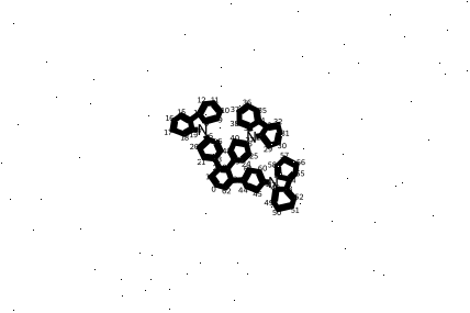 c1cc(-c2ccc(-n3c4ccccc4c4ccccc43)cc2)c(-c2ccc(-n3c4ccccc4c4ccccc43)cc2)c(-c2ccc(-n3c4ccccc4c4ccccc43)cc2)c1